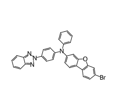 Brc1ccc2c(c1)oc1cc(N(c3ccccc3)c3ccc(-n4nc5ccccc5n4)cc3)ccc12